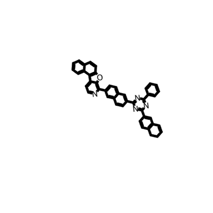 C1=Cc2cc(-c3nc(-c4ccccc4)nc(-c4ccc5cc(-c6nccc7c6oc6ccc8ccccc8c67)ccc5c4)n3)ccc2CC1